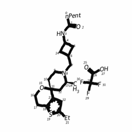 CCCCCC(=O)NC1CC(CN2CC[C@]3(C[C@@H]2C)OCCc2sc(CC)cc23)C1.O=C(O)C(F)(F)F